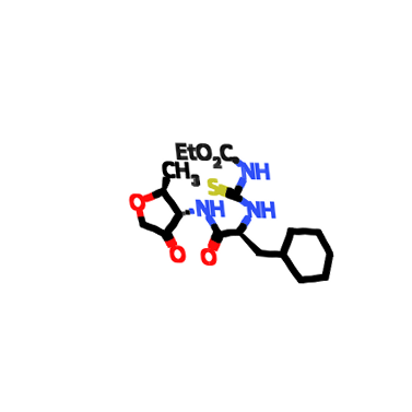 CCOC(=O)NC(=S)N[C@@H](CC1CCCCC1)C(=O)N[C@@H]1C(=O)CO[C@H]1C